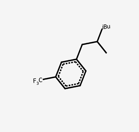 [CH2]C(CC)C(C)Cc1cccc(C(F)(F)F)c1